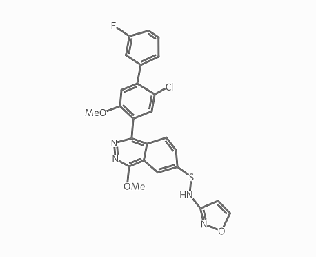 COc1cc(-c2cccc(F)c2)c(Cl)cc1-c1nnc(OC)c2cc(SNc3ccon3)ccc12